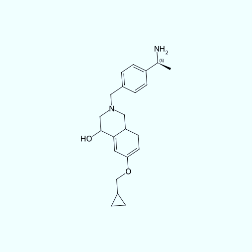 C[C@H](N)c1ccc(CN2CC(O)C3=CC(OCC4CC4)=CCC3C2)cc1